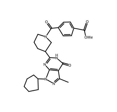 COC(=O)c1ccc(C(=O)N2CCCC(c3nc4c(c(C)nn4C4CCCCC4)c(=O)[nH]3)C2)cc1